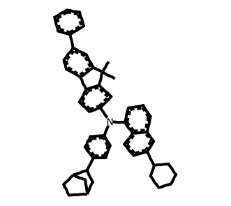 CC1(C)c2cc(-c3ccccc3)ccc2-c2ccc(N(c3ccc(C4CC5CCC4C5)cc3)c3cccc4cc(C5CCCCC5)ccc34)cc21